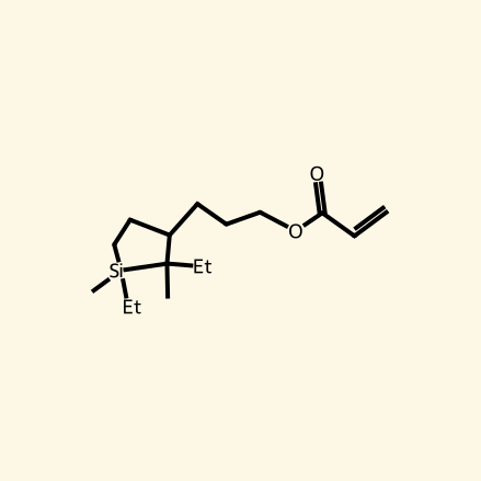 C=CC(=O)OCCCC1CC[Si](C)(CC)C1(C)CC